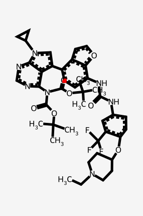 CCN1CCC(Oc2ccc(NC(=O)Nc3ccc(-c4cn(C5CC5)c5ncnc(N(C(=O)OC(C)(C)C)C(=O)OC(C)(C)C)c45)c4ccoc34)cc2C(F)(F)F)CC1